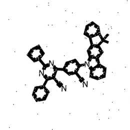 CC1(C)c2ccccc2-c2cc3c(cc21)c1ccccc1n3-c1ccc(-c2nc(-c3ccccc3)nc(-c3ccccc3)c2C#N)cc1C#N